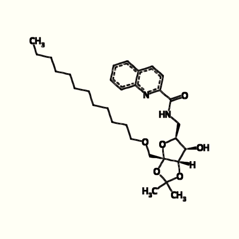 CCCCCCCCCCCCOC[C@@]12O[C@@H](CNC(=O)c3ccc4ccccc4n3)[C@@H](O)[C@@H]1OC(C)(C)O2